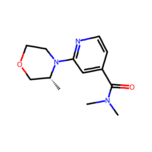 C[C@@H]1COCCN1c1cc(C(=O)N(C)C)ccn1